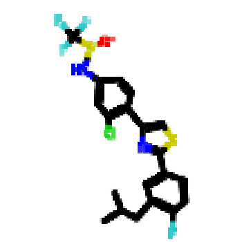 CC(C)Cc1cc(-c2nc(-c3ccc(N[S+]([O-])C(F)(F)F)cc3Cl)cs2)ccc1F